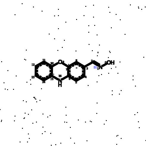 O/N=C/c1ccc2c(c1)Oc1ccccc1N2